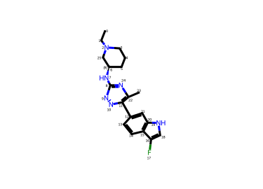 CCN1CCC[C@@H](Nc2nnc(-c3ccc4c(F)c[nH]c4c3)c(C)n2)C1